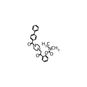 CCN(C)C(=O)Oc1ccccc1C(=O)CN1CCN(C(=O)c2ccc(-c3ccccc3)cc2)CC1